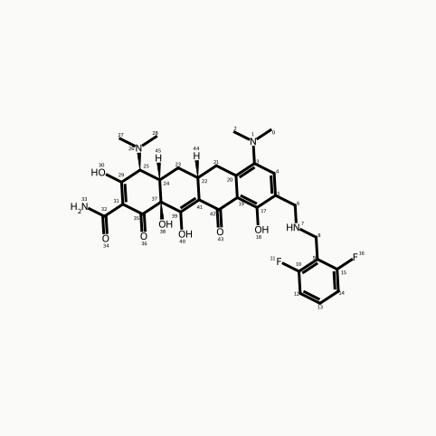 CN(C)c1cc(CNCc2c(F)cccc2F)c(O)c2c1C[C@H]1C[C@H]3[C@H](N(C)C)C(O)=C(C(N)=O)C(=O)[C@@]3(O)C(O)=C1C2=O